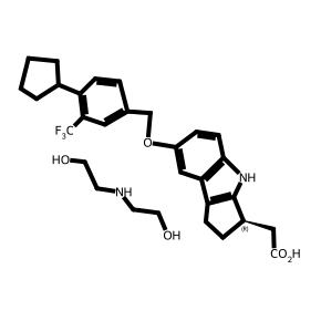 O=C(O)C[C@H]1CCc2c1[nH]c1ccc(OCc3ccc(C4CCCC4)c(C(F)(F)F)c3)cc21.OCCNCCO